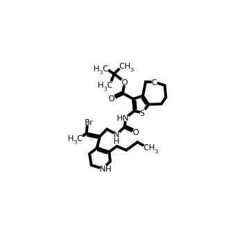 CCCCC1=C(/C(CNC(=O)Nc2sc3c(c2C(=O)OC(C)(C)C)CCCCC3)=C(\C)Br)CCNC1